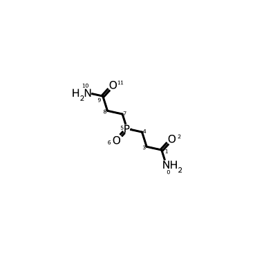 NC(=O)CC[P](=O)CCC(N)=O